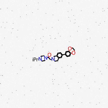 CC(C)N1CCN(C(=O)CN2CCc3cc(-c4ccc5c(c4)OCCO5)ccc3C2)CC1